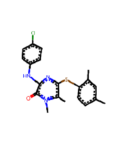 Cc1ccc(Sc2nc(Nc3ccc(Cl)cc3)c(=O)n(C)c2C)c(C)c1